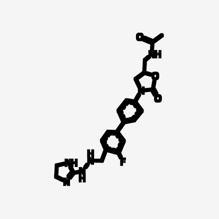 CC(=O)NCC1CN(c2ccc(-c3ccc(CNNC4=NCCN4)c(F)c3)cc2)C(=O)O1